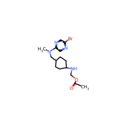 CC(=O)OCNC1CCC(CN(C)c2cnc(Br)cn2)CC1